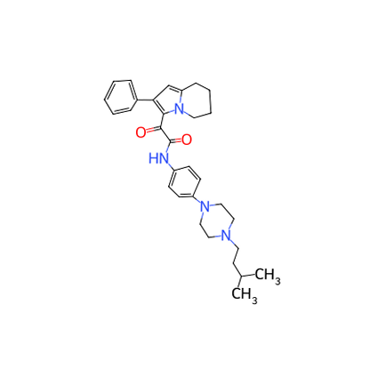 CC(C)CCN1CCN(c2ccc(NC(=O)C(=O)c3c(-c4ccccc4)cc4n3CCCC4)cc2)CC1